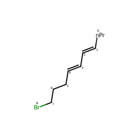 CCCC=CC=CCCCBr